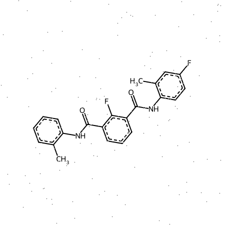 Cc1ccccc1NC(=O)c1cccc(C(=O)Nc2ccc(F)cc2C)c1F